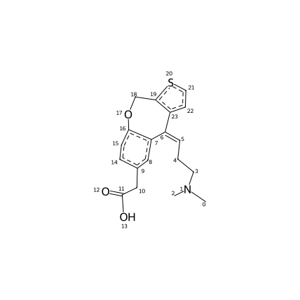 CN(C)CCC=C1c2cc(CC(=O)O)ccc2OCc2sccc21